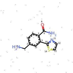 NCc1ccc(C(N)=O)c(-c2nccs2)c1